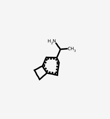 CC(N)c1ccc2c(c1)CC2